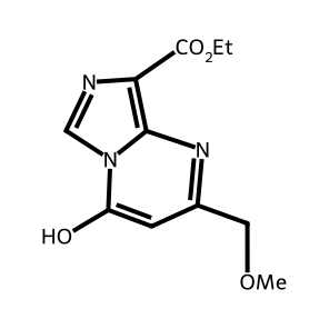 CCOC(=O)c1ncn2c(O)cc(COC)nc12